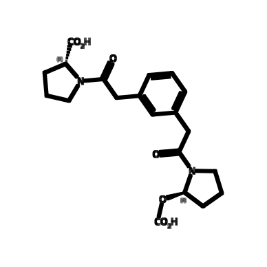 O=C(O)O[C@@H]1CCCN1C(=O)Cc1cccc(CC(=O)N2CCC[C@@H]2C(=O)O)c1